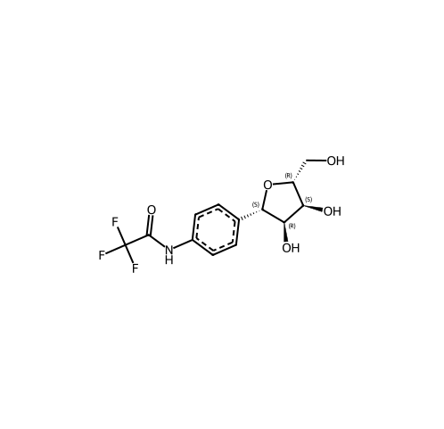 O=C(Nc1ccc([C@@H]2O[C@H](CO)[C@@H](O)[C@H]2O)cc1)C(F)(F)F